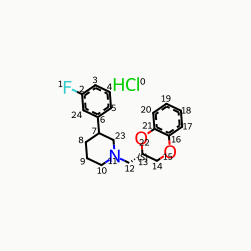 Cl.Fc1cccc(C2CCCN(C[C@H]3COc4ccccc4O3)C2)c1